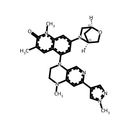 Cc1cc2c(N3CCN(C)c4cc(-c5cnn(C)c5)ncc43)cc(N3C[C@@H]4C[C@H]3CO4)cc2n(C)c1=O